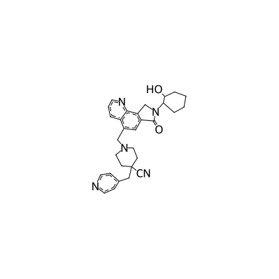 N#CC1(Cc2ccncc2)CCN(Cc2cc3c(c4ncccc24)CN(C2CCCCC2O)C3=O)CC1